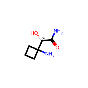 NC(=O)[C@@H](O)C1(N)CCC1